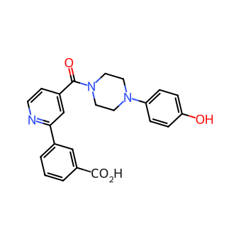 O=C(O)c1cccc(-c2cc(C(=O)N3CCN(c4ccc(O)cc4)CC3)ccn2)c1